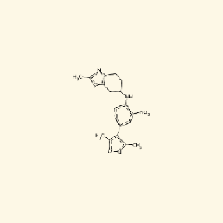 Cc1nc2c(s1)CC(Nc1ccc(-c3c(C)noc3C)cc1[N+](=O)[O-])CC2